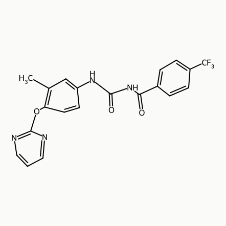 Cc1cc(NC(=O)NC(=O)c2ccc(C(F)(F)F)cc2)ccc1Oc1ncccn1